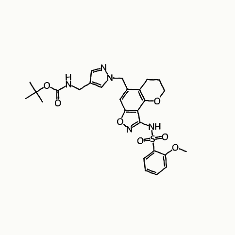 COc1ccccc1S(=O)(=O)Nc1noc2cc(Cn3cc(CNC(=O)OC(C)(C)C)cn3)c3c(c12)OCCC3